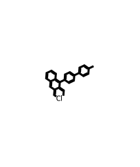 C/C=c1/c(-c2ccc(-c3ccc(C)cc3)cc2)c2ccccc2c/c1=C/Cl